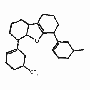 CC1CCC=C(C2CCCC3=C2OC2C(C4=CCCC(C(F)(F)F)C4)CCCC32)C1